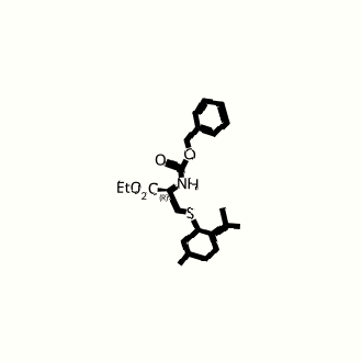 CCOC(=O)[C@H](CSC1CC(C)CCC1=C(C)C)NC(=O)OCc1ccccc1